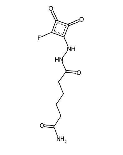 NC(=O)CCCCC(=O)NNc1c(F)c(=O)c1=O